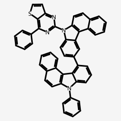 c1ccc(-c2nc(-n3c4ccc(-c5cccc6c5c5c7ccccc7ccc5n6-c5ccccc5)cc4c4c5ccccc5ccc43)nc3ccsc23)cc1